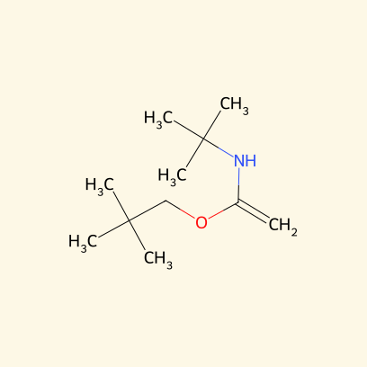 C=C(NC(C)(C)C)OCC(C)(C)C